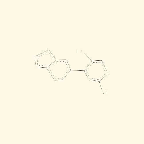 Cc1cnc(N)nc1-c1ccc2scnc2c1